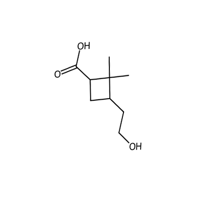 CC1(C)C(CCO)CC1C(=O)O